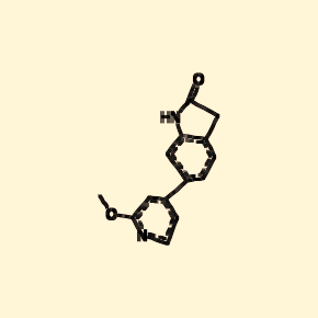 COc1cc(-c2ccc3c(c2)NC(=O)C3)ccn1